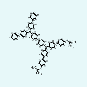 CC(C)Cc1ccc(-c2ccc(N(c3ccc(-c4ccc(CC(C)C)cc4)cc3)c3ccc(-c4ccc(N(c5ccc(-c6ccccc6)cc5)c5ccc(-c6ccccc6)cc5)cc4)cc3)cc2)cc1